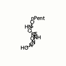 CCCCCc1ccc(SNc2cccc(-c3csc(NC(=O)CN4CCN(CCO)CC4)n3)c2)cc1